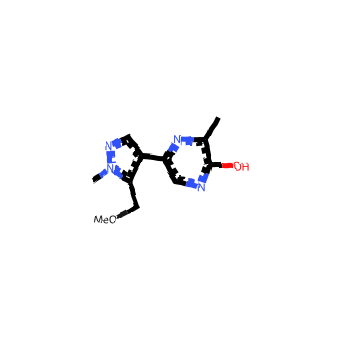 COCc1c(-c2cnc(O)c(C)n2)cnn1C